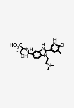 Cc1cc(C2Nc3cc(CNC(C(=O)O)[C@@H](C)O)ccc3N2CCN(C)C)c[nH]c1=O